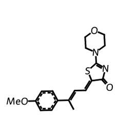 COc1ccc(C(C)=CC=C2SC(N3CCOCC3)=NC2=O)cc1